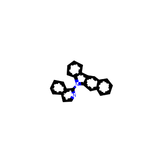 c1ccc2cc3c(cc2c1)c1ccccc1n3-c1nccc2ccccc12